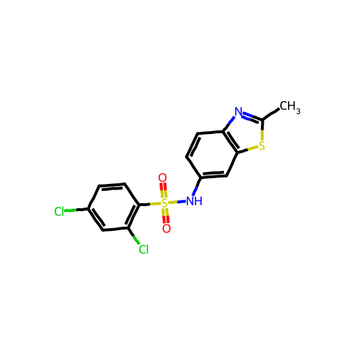 Cc1nc2ccc(NS(=O)(=O)c3ccc(Cl)cc3Cl)cc2s1